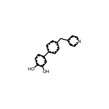 Oc1ccc(-c2ccc(Cc3ccncc3)cc2)cc1O